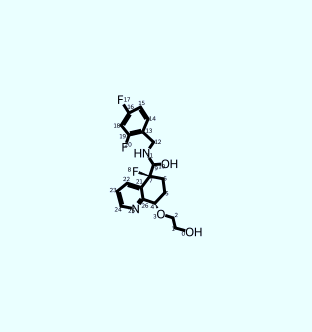 OCCO[C@H]1CC[C@@](F)(C(O)NCc2ccc(F)cc2F)c2cccnc21